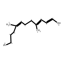 C/C(=C/CC/C(C)=C/C=C/O)CCCC(C)C